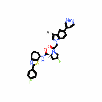 CC(=O)c1cn(CC(=O)N2C[C@H](F)C[C@H]2C(=O)NC2CCCc3nc(-c4ccc(F)cc4)sc32)c2ccc(-c3ccnnc3)cc12